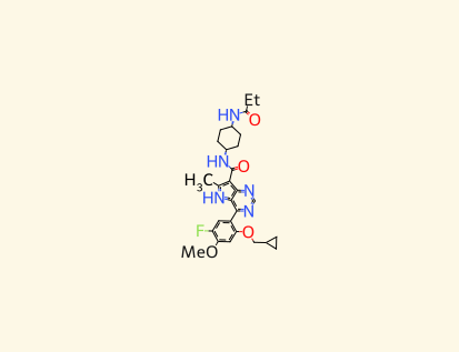 CCC(=O)N[C@H]1CC[C@@H](NC(=O)c2c(C)[nH]c3c(-c4cc(F)c(OC)cc4OCC4CC4)ncnc23)CC1